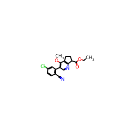 CCOC(=O)C1CCc2c1ncc(-c1cc(Cl)ccc1C#N)c2OC